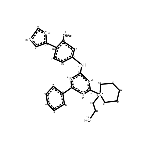 COc1cc(Nc2nc(-c3ccccc3)nc([N+]3(CCO)CCCCC3)n2)ccc1-c1cnco1